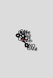 COC(=O)C1=C(C)NC(C)(c2nc(-c3ccc(OC)c([N+](=O)[O-])c3)cs2)C(C(=O)OC)C1c1ccccc1